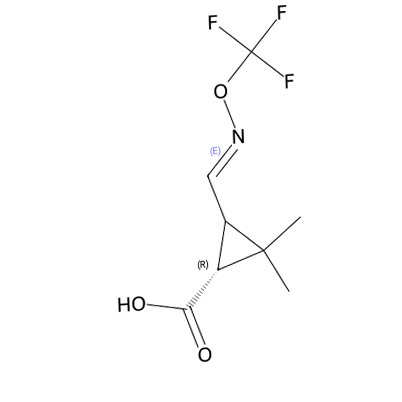 CC1(C)C(/C=N/OC(F)(F)F)[C@H]1C(=O)O